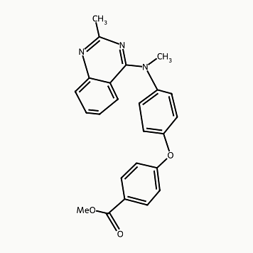 COC(=O)c1ccc(Oc2ccc(N(C)c3nc(C)nc4ccccc34)cc2)cc1